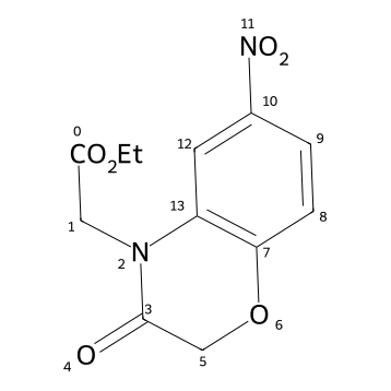 CCOC(=O)CN1C(=O)COc2ccc([N+](=O)[O-])cc21